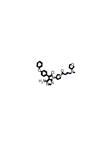 CN(C/C=C/C(=O)N1CC[C@@H](n2c(Cl)c(-c3ccc(Oc4ccccc4)cc3)c3c(N)ncnc32)C1)[C@H]1CCOC1